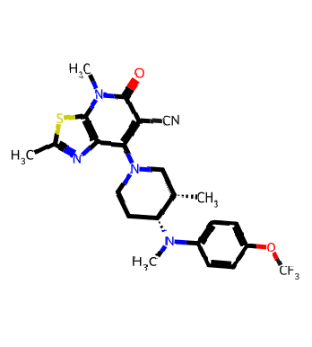 Cc1nc2c(N3CC[C@@H](N(C)c4ccc(OC(F)(F)F)cc4)[C@@H](C)C3)c(C#N)c(=O)n(C)c2s1